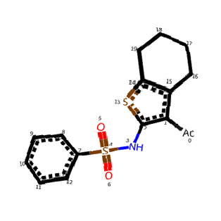 CC(=O)c1c(NS(=O)(=O)c2ccccc2)sc2c1CCCC2